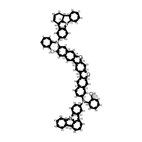 Cc1ccccc1N(c1ccc2cc3c(cc2c1)oc1cc2oc4cc5cc(N(c6ccc7c(c6)c6cccc8c9ccccc9n7c86)c6ccccc6C)ccc5cc4c2cc13)c1ccc2c(c1)c1c3n2-c2ccccc2C3CC=C1